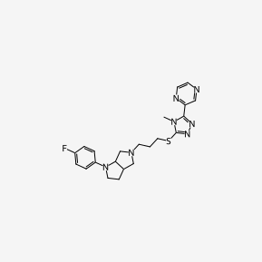 Cn1c(SCCCN2CC3CCN(c4ccc(F)cc4)C3C2)nnc1-c1cnccn1